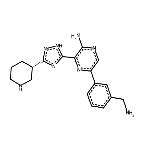 NCc1cccc(-c2cnc(N)c(-c3nc([C@H]4CCCNC4)n[nH]3)n2)c1